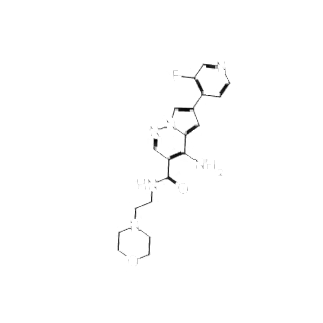 Nc1c(C(=O)NCCN2CCOCC2)cnn2cc(-c3ccncc3F)cc12